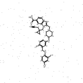 N#CCC1(Cn2c(CN3CCC(Oc4ccc(F)c(COc5ccc(Cl)cc5F)c4)CC3)nc3ccc(C(=O)O)cc32)CC1